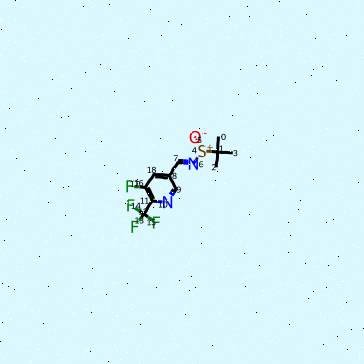 CC(C)(C)[S@@+]([O-])/N=C/c1cnc(C(F)(F)F)c(F)c1